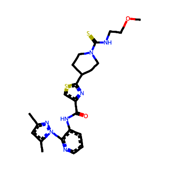 COCCNC(=S)N1CCC(c2nc(C(=O)Nc3cccnc3-n3nc(C)cc3C)cs2)CC1